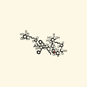 CCCCCC(NC(=O)C(Cc1ccccc1)NC(=O)C(Cc1ccccc1)NC(=O)C(CSC1CC(=O)N(CCCCN[C@H]2C(O)C[C@H](CO)[C@@H](O)[C@@H]2O)C1=O)NC(C)C)C(=O)NC(CC(=O)O)C(=O)C(CCC(=O)O)C(=O)NC(CC(C)C)C(=O)NC(CSC1CC(=O)N(CCCCN2CC(O)C(O)C(O)C2CO)C1=O)C(=O)O